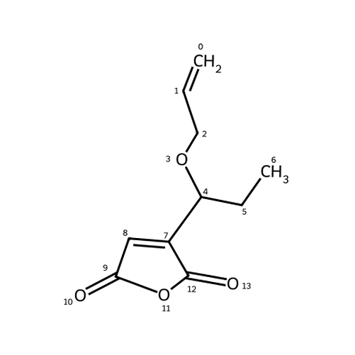 C=CCOC(CC)C1=CC(=O)OC1=O